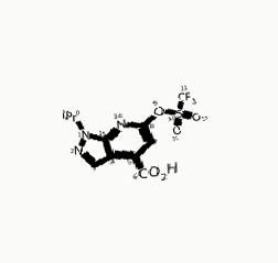 CC(C)n1ncc2c(C(=O)O)cc(OS(=O)(=O)C(F)(F)F)nc21